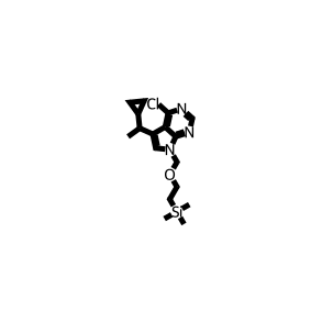 CC(c1cn(COCC[Si](C)(C)C)c2ncnc(Cl)c12)C1CC1